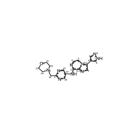 c1cn2c(-c3cn[nH]c3)cnc2c(Nc2cnc(CN3CCOCC3)nc2)n1